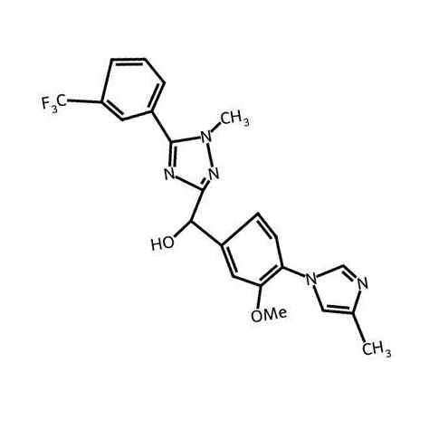 COc1cc(C(O)c2nc(-c3cccc(C(F)(F)F)c3)n(C)n2)ccc1-n1cnc(C)c1